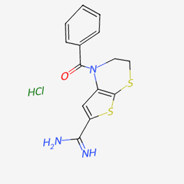 Cl.N=C(N)c1cc2c(s1)SCCN2C(=O)c1ccccc1